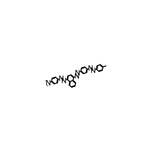 Cc1ccc(N=Nc2ccc(N=Nc3ccc(N=Nc4ccc(N(C)C)cc4)c4ccccc34)cc2)cc1